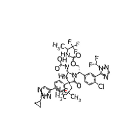 CC(NC(=O)OC[C@H](c1ccc(Cl)c(-c2ncnn2C(F)F)c1)N1C(=O)C(CC(C)(C)C)(c2ccc(-c3cnn(C4CC4)n3)cc2)NC1=NC(=O)O)C(F)(F)F